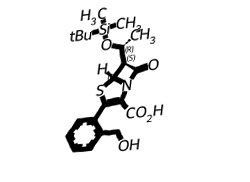 C[C@@H](O[Si](C)(C)C(C)(C)C)[C@H]1C(=O)N2C(C(=O)O)=C(c3ccccc3CO)S[C@H]12